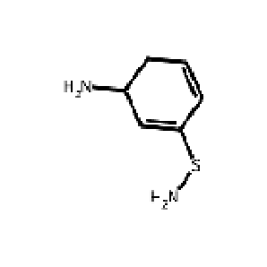 NSC1=CC(N)CC=C1